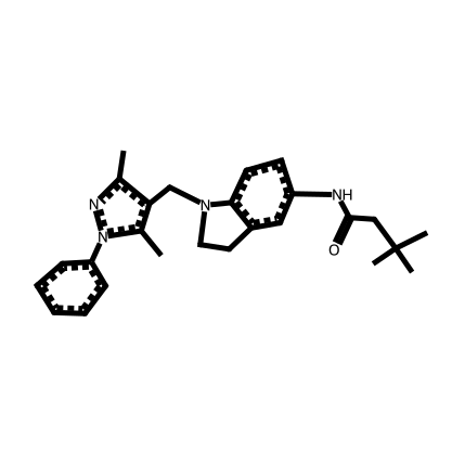 Cc1nn(-c2ccccc2)c(C)c1CN1CCc2cc(NC(=O)CC(C)(C)C)ccc21